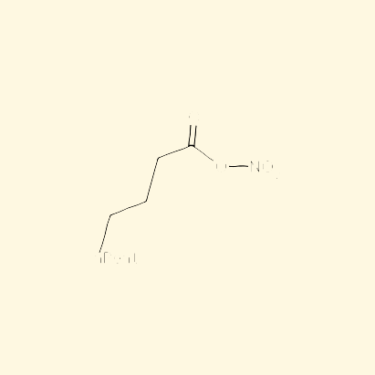 CCCCCCCCC(=O)O[N+](=O)[O-]